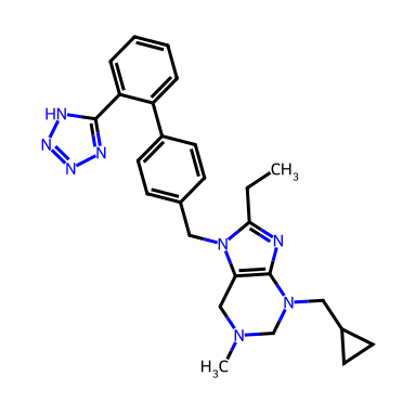 CCc1nc2c(n1Cc1ccc(-c3ccccc3-c3nnn[nH]3)cc1)CN(C)CN2CC1CC1